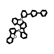 c1ccc(-c2ccc(-c3cccc(-n4c5ccccc5c5c4ccc4c6ccccc6n(-c6cccc7c6oc6ccccc67)c45)c3)cc2)cc1